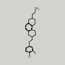 CCCC1CCc2c(ccc3c2CCC(CCc2ccc(Cl)c(F)c2)C3)C1